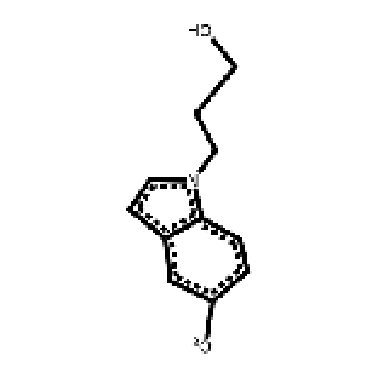 OCCCn1ccc2cc([3O])ccc21